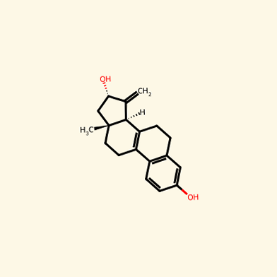 C=C1[C@H]2C3=C(CC[C@]2(C)C[C@@H]1O)c1ccc(O)cc1CC3